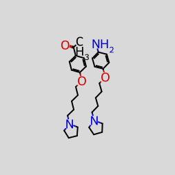 CC(=O)c1ccc(OCCCCCN2CCCC2)cc1.Nc1ccc(OCCCCCN2CCCC2)cc1